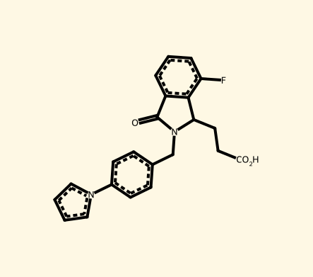 O=C(O)CCC1c2c(F)cccc2C(=O)N1Cc1ccc(-n2cccc2)cc1